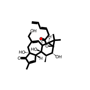 C=C/C=C/CC(=O)O[C@@]12[C@H](O)[C@@H](C)[C@@]3(O)[C@@H](C=C(CO)C[C@]4(O)C(=O)C(C)=C[C@@H]34)[C@H]1C2(C)C